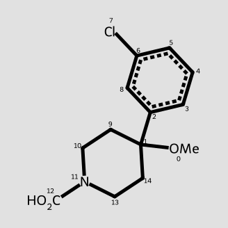 COC1(c2cccc(Cl)c2)CCN(C(=O)O)CC1